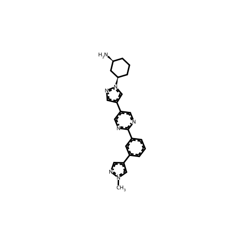 Cn1cc(-c2cccc(-c3ncc(-c4cnn([C@@H]5CCC[C@H](N)C5)c4)cn3)c2)cn1